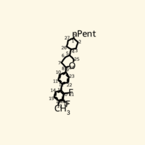 CCCCCC1CCC(C2CCC(c3ccc(-c4ccc(C)c(F)c4F)cc3)OC2)CC1